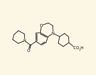 O=C(O)C1CCC(N2CCOc3cc(C(=O)N4CCCCC4)ccc32)CC1